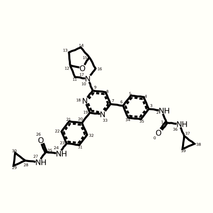 O=C(Nc1ccc(-c2cc(N3CC4CCC(C3)O4)nc(-c3ccc(NC(=O)NC4CC4)cc3)n2)cc1)NC1CC1